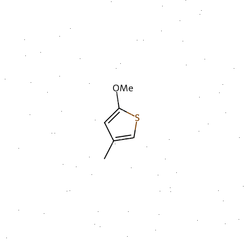 COc1cc(C)cs1